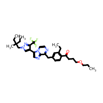 CCCOCCCC(=O)c1ccc(Cc2nccn3c(-c4cn(CC(C)(CC)CC)nc4C(F)(F)F)cnc23)cc1CC